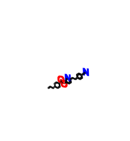 CCC[C@H]1CC[C@H](C(=O)Oc2ccc(CCc3ccc(C#N)cc3)nc2)CC1